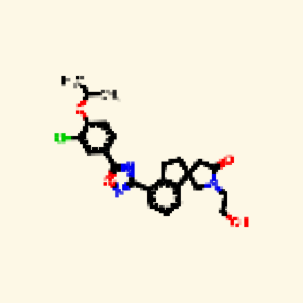 CC(C)Oc1ccc(-c2nc(-c3cccc4c3CCC43CC(=O)N(CCO)C3)no2)cc1Cl